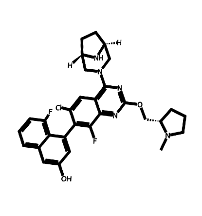 CN1CCC[C@H]1COc1nc(N2C[C@@H]3CC[C@@H](C2)N3)c2cc(Cl)c(-c3cc(O)cc4cccc(F)c34)c(F)c2n1